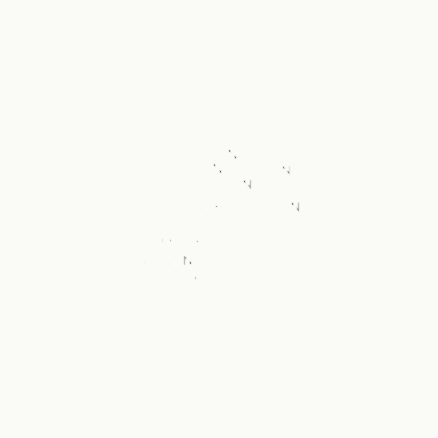 CN(C12CCC(c3nnc4cnc5[nH]ccc5n34)(CC1)CC2)S(=O)(=O)C1CC1